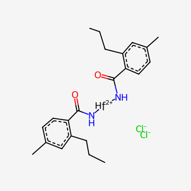 CCCc1cc(C)ccc1C(=O)[NH][Hf+2][NH]C(=O)c1ccc(C)cc1CCC.[Cl-].[Cl-]